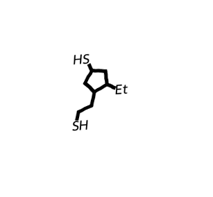 CCC1CC(S)CC1CCS